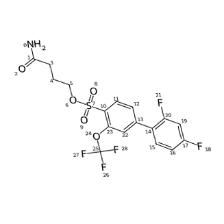 NC(=O)CCCOS(=O)(=O)c1ccc(-c2ccc(F)cc2F)cc1OC(F)(F)F